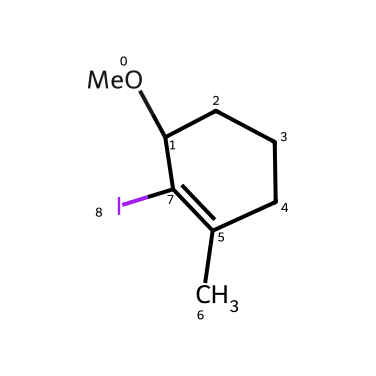 COC1CCCC(C)=C1I